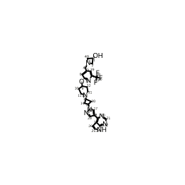 OC1CN(Cc2cc(OC3CCN(C4CC(n5cc(-c6ncnc7[nH]ccc67)cn5)C4)CC3)nc(C(F)(F)F)c2)C1